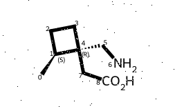 C[C@H]1CC[C@@]1(CN)CC(=O)O